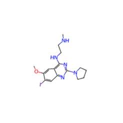 CNCCNc1nc(N2CCCC2)nc2cc(I)c(OC)cc12